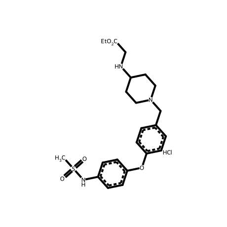 CCOC(=O)CNC1CCN(Cc2ccc(Oc3ccc(NS(C)(=O)=O)cc3)cc2)CC1.Cl